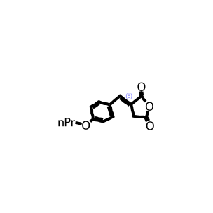 CCCOc1ccc(/C=C2\CC(=O)OC2=O)cc1